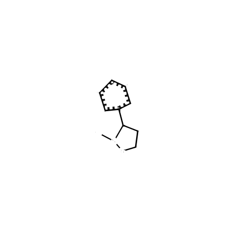 CC(=O)N1NCCC1c1ccccc1